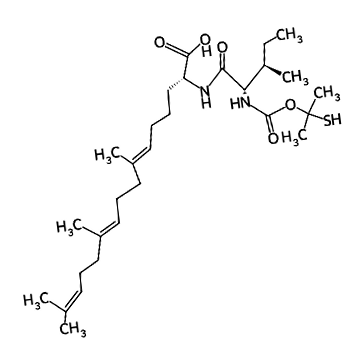 CC[C@@H](C)[C@H](NC(=O)OC(C)(C)S)C(=O)N[C@H](CCC/C=C(\C)CC/C=C(\C)CCC=C(C)C)C(=O)O